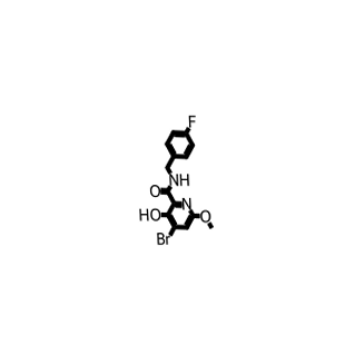 COc1cc(Br)c(O)c(C(=O)NCc2ccc(F)cc2)n1